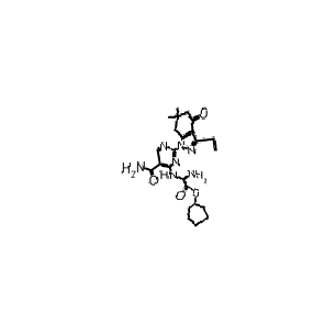 CCc1nn(-c2ncc(C(N)=O)c(NC(N)C(=O)OC3CCCCC3)n2)c2c1C(=O)CC(C)(C)C2